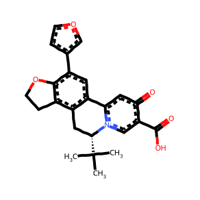 CC(C)(C)[C@@H]1Cc2c(cc(-c3ccoc3)c3c2CCO3)-c2cc(=O)c(C(=O)O)cn21